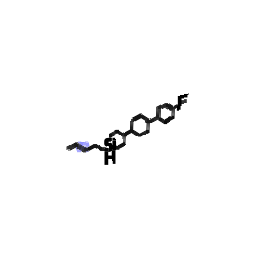 C/C=C/CC[SiH]1CCC(C2CCC(c3ccc(F)cc3)CC2)CC1